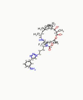 B[C@@H]1[C@@H](C)C(=O)[C@@H](C)C(=O)O[C@H](CC)[C@@]2(C)OC(=O)N(CCCCn3cc(-c4cccc(N)c4)nn3)[C@@H]2[C@@H](C(F)(F)F)NC[C@H](C)C[C@@]1(C)OC